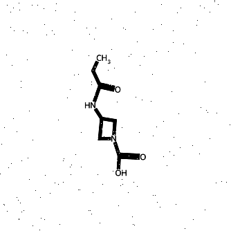 CCC(=O)NC1CN(C(=O)O)C1